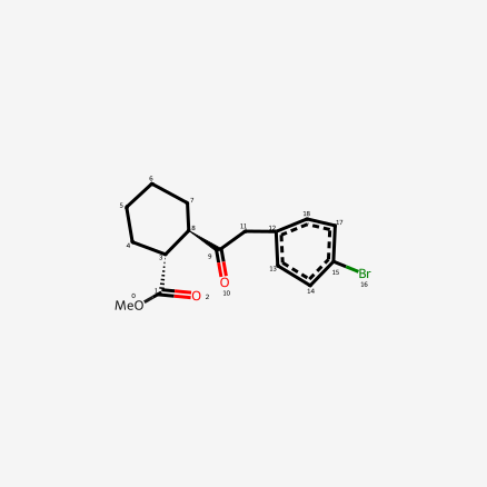 COC(=O)[C@@H]1CCCC[C@H]1C(=O)Cc1ccc(Br)cc1